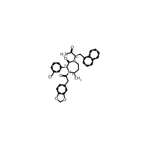 C[C@@H]1CCN([C@H](Cc2cccc3ccccc23)C(N)=O)C(=O)[C@H](c2cccc(Cl)c2)N1C(=O)Cc1ccc2c(c1)OCO2